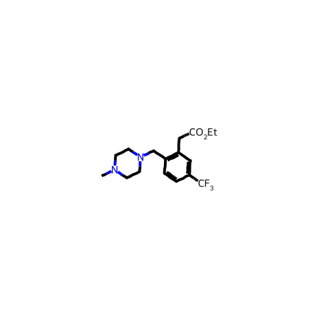 CCOC(=O)Cc1cc(C(F)(F)F)ccc1CN1CCN(C)CC1